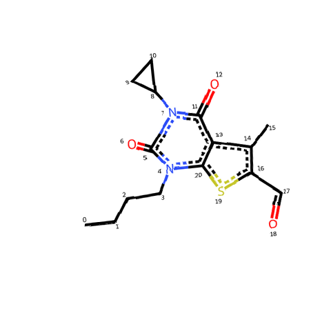 CCCCn1c(=O)n(C2CC2)c(=O)c2c(C)c(C=O)sc21